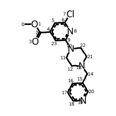 COC(=O)c1cc(Cl)nc(N2CCN(Cc3cccnc3)CC2)c1